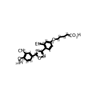 [C-]#[N+]c1cc(-c2nc(-c3ccc(OCCCCC(=O)O)cc3CC)no2)ccc1OC(C)C